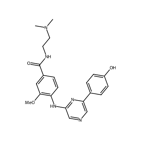 COc1cc(C(=O)NCCN(C)C)ccc1Nc1cncc(-c2ccc(O)cc2)n1